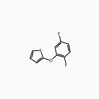 Fc1ccc(F)c(Oc2c[c]cs2)c1